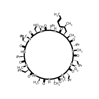 C/C=C/C[C@@H](C)C[C@@H]1C(=O)N[C@@H](CCC)C(=O)N(C)[C@H](CO)C(=O)N(C)[C@@H](CC(C)C)C(=O)N[C@H](C(C)C)C(=O)N(C)[C@H](CC(C)C)C(=O)N[C@H](C)C(=O)N[C@@H](C)C(=O)N(C)[C@@H](CC(C)C)C(=O)N(C)[C@@H](CC(C)C)C(=O)N(C)[C@@H](C(C)C)C(=O)C1C